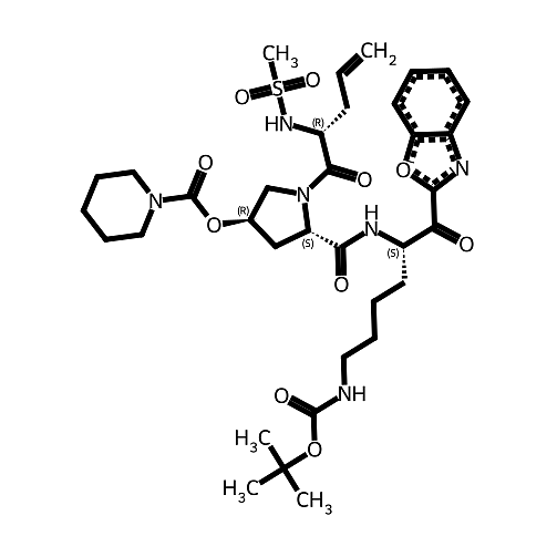 C=CC[C@@H](NS(C)(=O)=O)C(=O)N1C[C@H](OC(=O)N2CCCCC2)C[C@H]1C(=O)N[C@@H](CCCCNC(=O)OC(C)(C)C)C(=O)c1nc2ccccc2o1